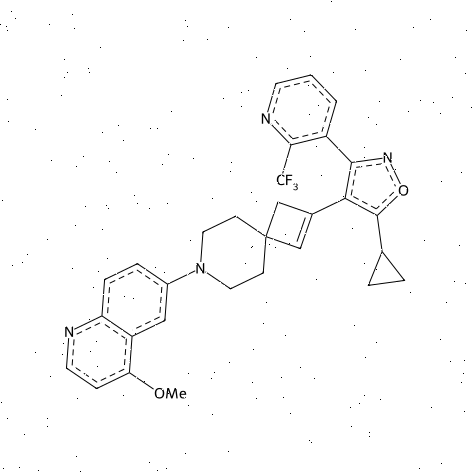 COc1ccnc2ccc(N3CCC4(C=C(c5c(-c6cccnc6C(F)(F)F)noc5C5CC5)C4)CC3)cc12